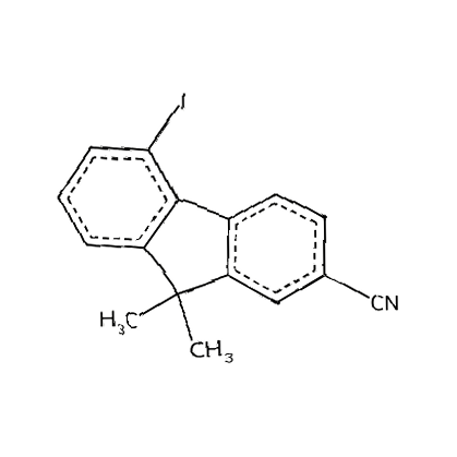 CC1(C)c2cc(C#N)ccc2-c2c(I)cccc21